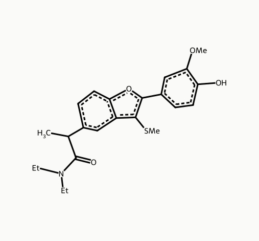 CCN(CC)C(=O)C(C)c1ccc2oc(-c3ccc(O)c(OC)c3)c(SC)c2c1